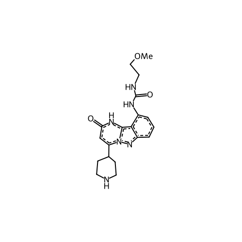 COCCNC(=O)Nc1cccc2nn3c(C4CCNCC4)cc(=O)[nH]c3c12